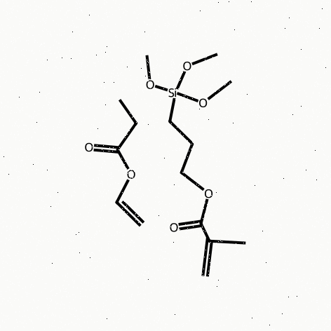 C=C(C)C(=O)OCCC[Si](OC)(OC)OC.C=COC(=O)CC